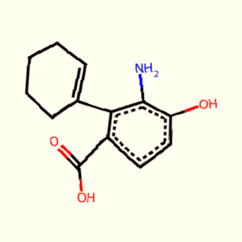 Nc1c(O)ccc(C(=O)O)c1C1=CCCCC1